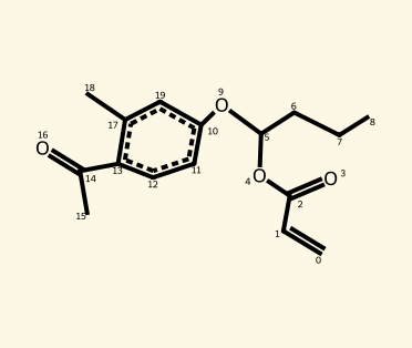 C=CC(=O)OC(CCC)Oc1ccc(C(C)=O)c(C)c1